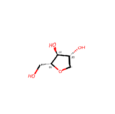 OC[C@H]1O[CH][C@@H](O)[C@@H]1O